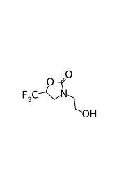 O=C1OC(C(F)(F)F)CN1CCO